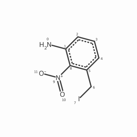 Nc1cccc(CI)c1[N+](=O)[O-]